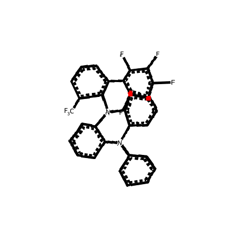 Fc1c(F)c(F)c(-c2cccc(C(F)(F)F)c2N2c3ccccc3N(c3ccccc3)c3ccccc32)c(F)c1F